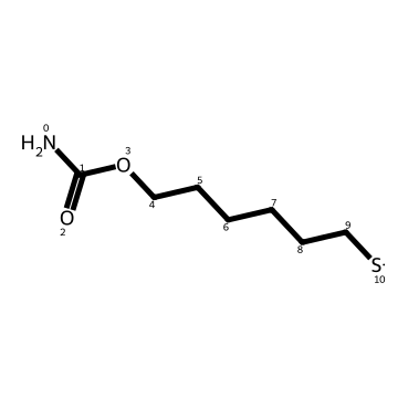 NC(=O)OCCCCCC[S]